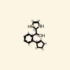 OC(c1ccccc1C1=CCCC1)C1NC=CN1